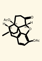 CC(=O)Oc1ccc2c3c1O[C@H]1C(=O)CC[C@@]4(OC(C)=O)[C@@H](C2)N(C)CCC314